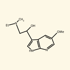 CCN(C)CC(O)c1c[nH]c2ncc(OC)cc12